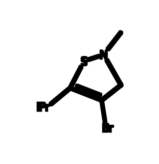 CC(C)C1=C(Br)CN(C)S1